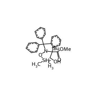 COC(=O)[C@](CO)(N(O[SiH](C)C)C(c1ccccc1)(c1ccccc1)c1ccccc1)C(C)(C)C